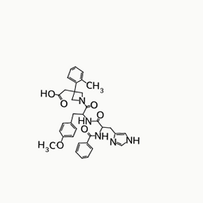 COc1ccc(CC(NC(=O)C(Cc2c[nH]cn2)NC(=O)c2ccccc2)C(=O)N2CC(CC(=O)O)(c3ccccc3C)C2)cc1